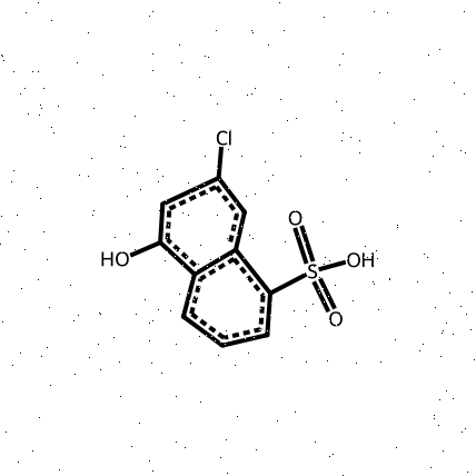 O=S(=O)(O)c1cccc2c(O)cc(Cl)cc12